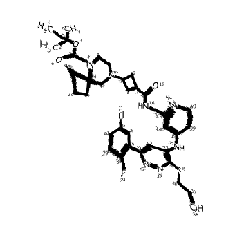 CC(C)(C)OC(=O)N1CCN(C2CC(C(=O)Nc3cc(Nc4cc(-c5cc(Cl)ccc5F)nnc4SCCO)ccn3)C2)CC12CCC2